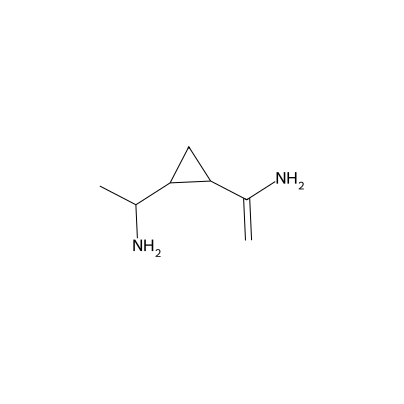 C=C(N)C1CC1C(C)N